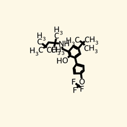 CC(C)(C)CC(C)(C)NCc1cc(C(C)(C)C)cc(-c2ccc(OC(F)(F)F)cc2)c1O